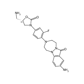 NC[C@H]1CN(c2ccc(N3CCn4c(=O)c5cc(N)ccc5n4CC3)c(F)c2)C(=O)O1